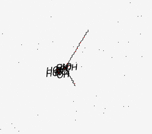 CCCCCCCCCCCCCCCCCCCCCCCCCC(=O)N[C@@H](CO[C@H]1O[C@H](CO)[C@H](O)[C@H](O)[C@H]1O)C(O)C(O)CCCCCCCCCCCCC